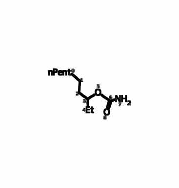 CCCCCCCC(CC)OC(N)=O